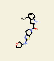 Cc1cccc2[nH]c(C(=O)N3CCc4nc(NC5CCOC5)sc4C3)cc12